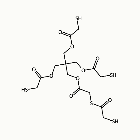 O=C(CS)OCC(COC(=O)CS)(COC(=O)CS)COC(=O)CSC(=O)CS